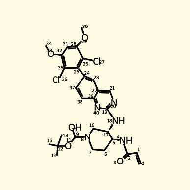 C=CC(=O)N[C@H]1CCN(C(O)OC(C)(C)C)C[C@H]1Nc1ncc2cc(-c3c(Cl)c(OC)cc(OC)c3Cl)ccc2n1